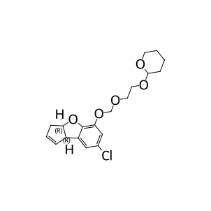 Clc1cc(OCOCCOC2CCCCO2)c2c(c1)[C@H]1C=CC[C@H]1O2